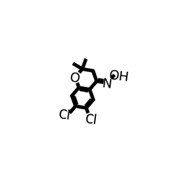 CC1(C)CC(=NO)c2cc(Cl)c(Cl)cc2O1